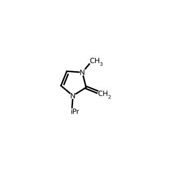 C=C1N(C)C=CN1C(C)C